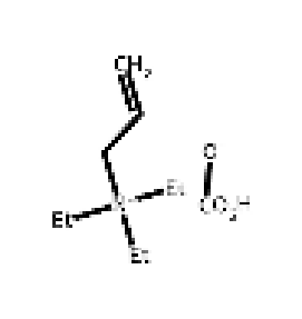 C=CC[N+](CC)(CC)CC.O=C([O-])O